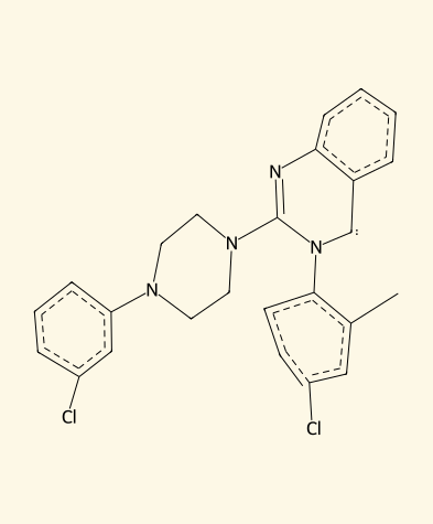 Cc1cc(Cl)ccc1N1[C]c2ccccc2N=C1N1CCN(c2cccc(Cl)c2)CC1